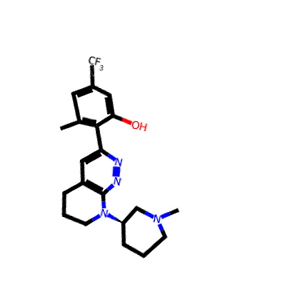 Cc1cc(C(F)(F)F)cc(O)c1-c1cc2c(nn1)N([C@@H]1CCCN(C)C1)CCC2